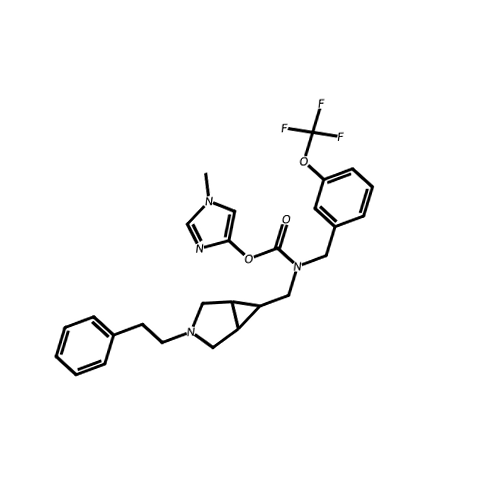 Cn1cnc(OC(=O)N(Cc2cccc(OC(F)(F)F)c2)CC2C3CN(CCc4ccccc4)CC32)c1